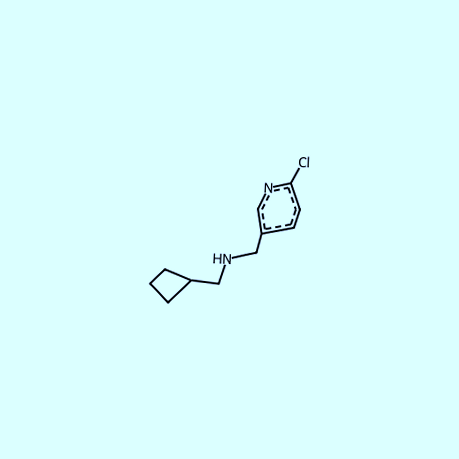 Clc1ccc(CNCC2CCC2)cn1